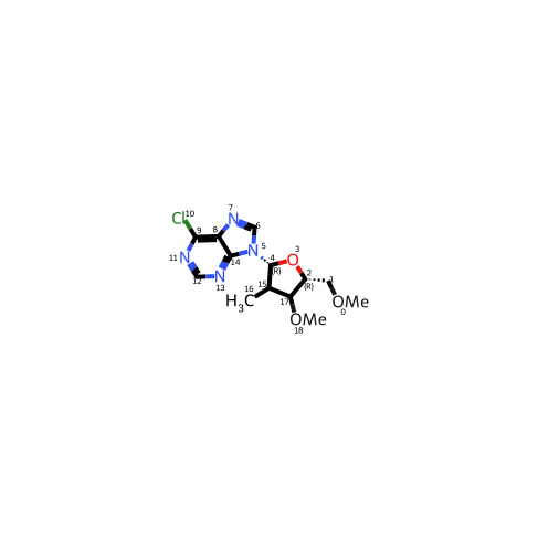 COC[C@H]1O[C@@H](n2cnc3c(Cl)ncnc32)C(C)C1OC